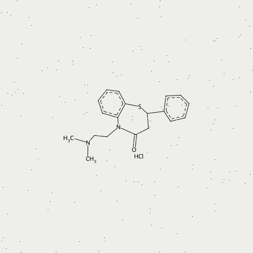 CN(C)CCN1C(=O)CC(c2ccccc2)Sc2ccccc21.Cl